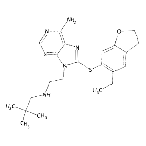 CCc1cc2c(cc1Sc1nc3c(N)ncnc3n1CCNCC(C)(C)C)OCC2